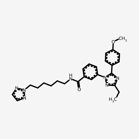 CCc1nc(-c2ccc(OC)cc2)n(-c2cccc(C(=O)NCCCCCCn3nccn3)c2)n1